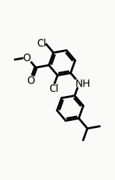 COC(=O)c1c(Cl)ccc(Nc2cccc(C(C)C)c2)c1Cl